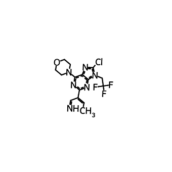 C/C=C(\C=N)c1nc(N2CCOCC2)c2nc(Cl)n(CC(F)(F)F)c2n1